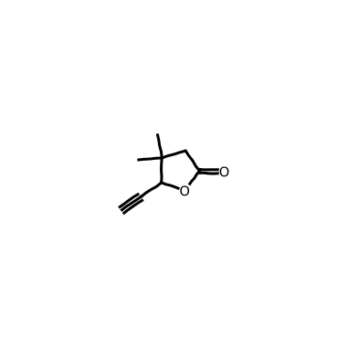 C#CC1OC(=O)CC1(C)C